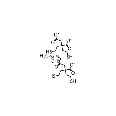 O=C([O-])CC(CCS)(CCS)C(=O)[O-].O=C([O-])CC(CCS)(CCS)C(=O)[O-].[CH3][Sn+4][CH3]